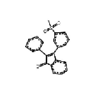 CS(=O)(=O)c1cccc(C2=C(c3ccccc3)C(=O)c3ccccc32)c1